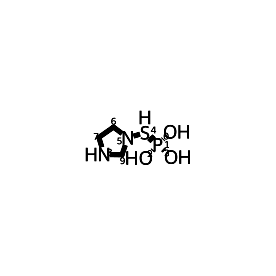 OP(O)(O)=[SH]N1CCNC1